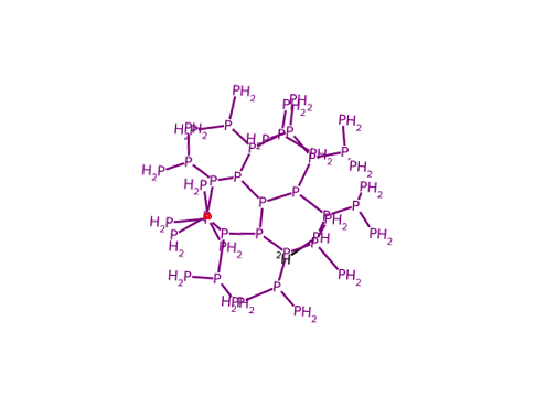 [2H]PP(P(P)P)P(P(P(P)P)P(P)P)P(P(P(P(P)P)P(P)P)P(P(P)P)P(P)P)P(P(P(P)P)P(P)P)P(P(P)P)P(P)P